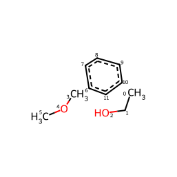 CCO.COC.c1ccccc1